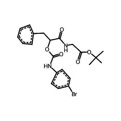 CC(C)(C)OC(=O)CNC(=O)C(Cc1ccccc1)OC(=O)Nc1ccc(Br)cc1